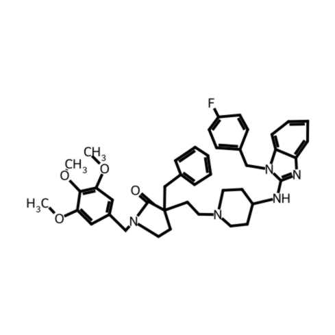 COc1cc(CN2CCC(CCN3CCC(Nc4nc5ccccc5n4Cc4ccc(F)cc4)CC3)(Cc3ccccc3)C2=O)cc(OC)c1OC